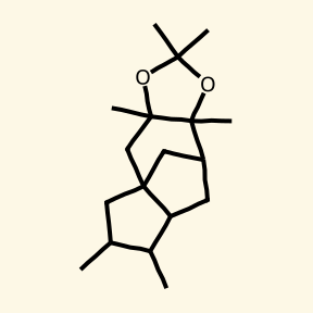 CC1CC23CC(CC2C1C)C1(C)OC(C)(C)OC1(C)C3